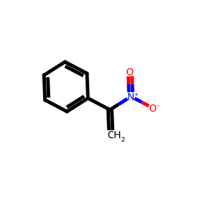 C=C(c1ccccc1)[N+](=O)[O-]